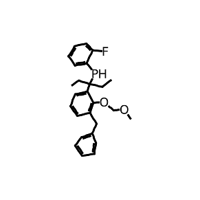 CCC(CC)(Pc1ccccc1F)c1cccc(Cc2ccccc2)c1OCOC